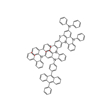 c1ccc(-c2ccccc2N(c2cc3c4c(c2)N(c2ccc(-c5c6ccccc6c(-c6ccccc6)c6ccccc56)cc2)c2ccccc2B4c2cc4c(cc2S3)Sc2cc(N(c3ccccc3)c3ccccc3)cc3c2B4c2ccccc2N3c2ccccc2)c2ccccc2-c2ccccc2)cc1